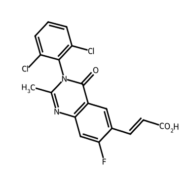 Cc1nc2cc(F)c(C=CC(=O)O)cc2c(=O)n1-c1c(Cl)cccc1Cl